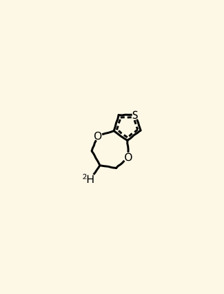 [2H]C1COc2cscc2OC1